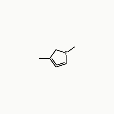 CC1=C=CP(C)C1